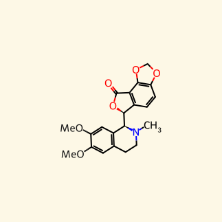 COc1cc2c(cc1OC)[C@@H]([C@H]1OC(=O)c3c1ccc1c3OCO1)N(C)CC2